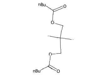 [CH2]C([CH2])(COC(=O)CCCC)COC(=O)CCCC